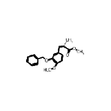 COC(=O)[C@@H](C)Cc1ccc(OC)c(OCc2ccccc2)c1